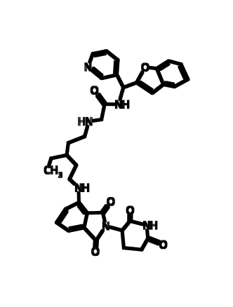 CCC(CCNCC(=O)NC(c1cccnc1)c1cc2ccccc2o1)CCNc1cccc2c1C(=O)N(C1CCC(=O)NC1=O)C2=O